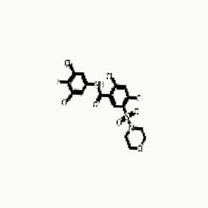 O=C(Nc1cc(Cl)c(F)c(Cl)c1)c1cc(S(=O)(=O)N2CCOCC2)c(Cl)cc1Cl